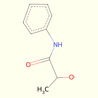 CC([O])C(=O)Nc1ccccc1